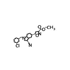 CCOC(=O)c1cc(-c2ccc3c(c2)c(C#N)cn3Cc2cccc(Cl)c2)on1